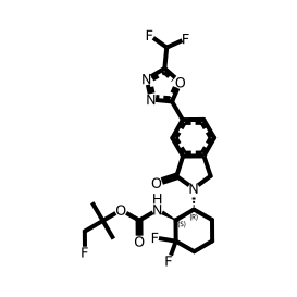 CC(C)(CF)OC(=O)N[C@H]1[C@H](N2Cc3ccc(-c4nnc(C(F)F)o4)cc3C2=O)CCCC1(F)F